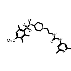 CCN(C1CCN(CCNC(=O)Nc2cc(C)nc(C)c2)CC1)S(=O)(=O)c1c(C)cc(OC)c(C)c1C